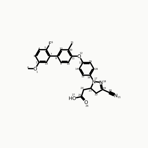 COc1ccc(F)c(-c2ccc(Oc3ccc(N4N=C(C#N)CC4CC(=O)O)cc3)c(C)c2)c1